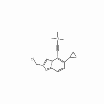 C[Si](C)(C)C#Cc1c(C2CC2)ccc2nc(CCl)cn12